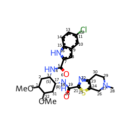 COC1C[C@H](NC(=O)c2cc3cc(Cl)ccc3[nH]2)[C@H](NC(=O)c2nc3c(s2)CN(C)CC3)CC1OC